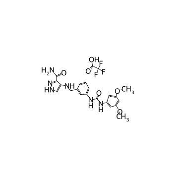 COc1cc(NC(=O)Nc2cccc(CNc3c[nH]nc3C(N)=O)c2)cc(OC)c1.O=C(O)C(F)(F)F